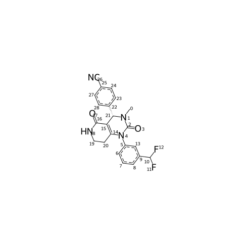 CN1C(=O)N(c2cccc(C(F)F)c2)C2=C(C(=O)NCC2)[C@@H]1c1ccc(C#N)cc1